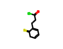 O=C(Cl)CCC1=CC=CCC1=S